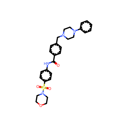 O=C(Nc1ccc(S(=O)(=O)N2CCOCC2)cc1)c1ccc(CN2CCN(c3ccccc3)CC2)cc1